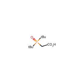 CC(C)(C)P(=O)(CC(=O)O)C(C)(C)C